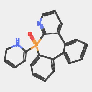 O=P1(C2=CC=CCN2)c2ccccc2-c2ccccc2-c2cccnc21